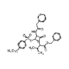 C=C(C)C(C(=O)OCc1ccccc1)N1C(=O)C(NC(=O)Cc2ccccc2)C1SS(=O)(=O)c1ccc(OC)cc1